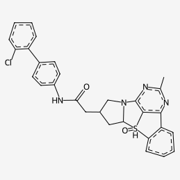 Cc1nc2c3c(n1)N1CC(CC(=O)Nc4ccc(-c5ccccc5Cl)cc4)CC1[SH]3(=O)c1ccccc1-2